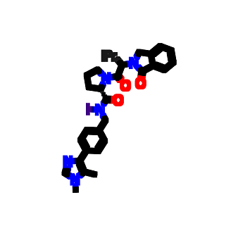 Cc1c(-c2ccc(CN(I)C(=O)[C@@H]3CCCN3C(=O)C(C(C)C)N3Cc4ccccc4C3=O)cc2)ncn1C